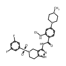 CCNc1cc(N2CCN(C)CC2)ccc1C(=O)Nc1n[nH]c2c1CN(S(=O)(=O)c1cc(F)cc(F)c1)CC2